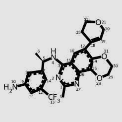 Cc1nc(N[C@H](C)c2cc(N)cc(C(F)(F)F)c2)c2cc(C3=CCOCC3)c3c(c2n1)OCCO3